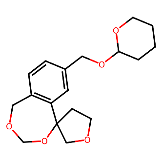 c1cc2c(cc1COC1CCCCO1)C1(CCOC1)OCOC2